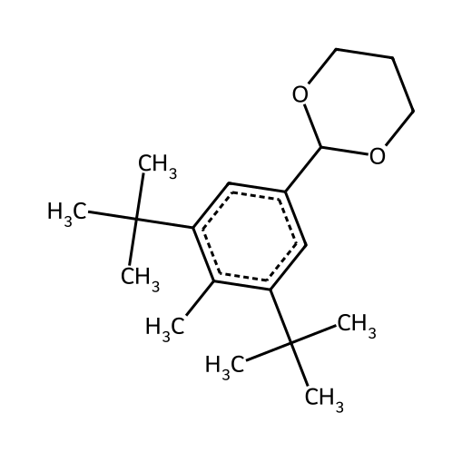 Cc1c(C(C)(C)C)cc(C2OCCCO2)cc1C(C)(C)C